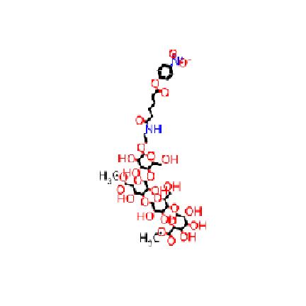 COC(=O)C1OC(OC2C(CO)OC(OC3C(O)C(OC4C(CO)OC(OCCNC(=O)CCCCC(=O)Oc5ccc([N+](=O)[O-])cc5)C(O)C4O)OC(C(=O)OC)C3O)C(O)C2O)C(O)C(O)C1O